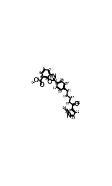 COC(=O)c1cccc2nc(-c3ccc(CCCCC(=O)c4ccnn4C)cc3)oc12